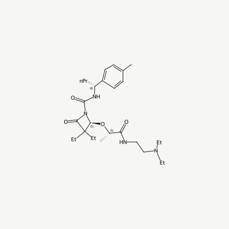 CCC[C@@H](NC(=O)N1C(=O)C(CC)(CC)[C@@H]1O[C@@H](C)C(=O)NCCN(CC)CC)c1ccc(C)cc1